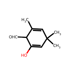 CC1=CC(C)(C)C=C(O)C1C=O